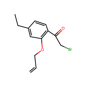 C=CCOc1cc(CC)ccc1C(=O)CBr